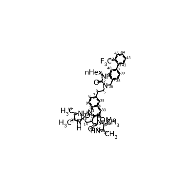 CCCCCCNC(=O)N(CCc1ccc2nc(C(CP3(=O)N[C@@H](C)[C@H](C)N3)P3(=O)N[C@@H](C)[C@H](C)N3)c(OC)cc2c1)Cc1ccc(-c2ccccc2C(F)(F)F)cc1